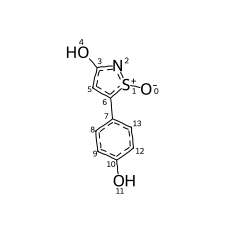 [O-][s+]1nc(O)cc1-c1ccc(O)cc1